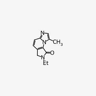 CCN1Cc2ccc3ncc(C)n3c2C1=O